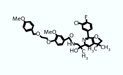 COc1ccc(COCCOc2ccc(C(=O)NCC(C)(O)c3cc4c(c(-c5ccc(F)c(Cl)c5)n3)OCC4(C)C)cc2OC)cc1